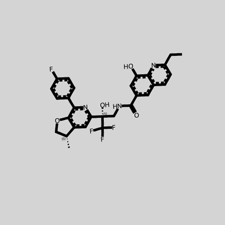 CCc1ccc2cc(C(=O)NC[C@](O)(c3cc4c(c(-c5ccc(F)cc5)n3)OC[C@H]4C)C(F)(F)F)cc(O)c2n1